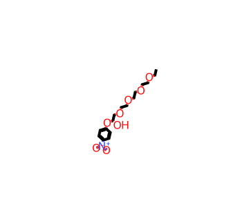 CCOCCOCCOCCOCC(O)Oc1ccc([N+](=O)[O-])cc1